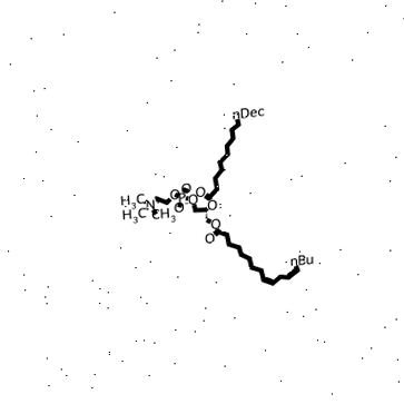 CCCC/C=C\C/C=C\CCCCCCCC(=O)OC[C@H](COP(=O)([O-])OCC[N+](C)(C)C)OC(=O)CCCCCCCCCCCCCCCCCCC